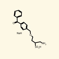 NCC(CCOCc1ccc(C(=O)c2ccccc2)cc1)S(=O)(=O)O.[NaH]